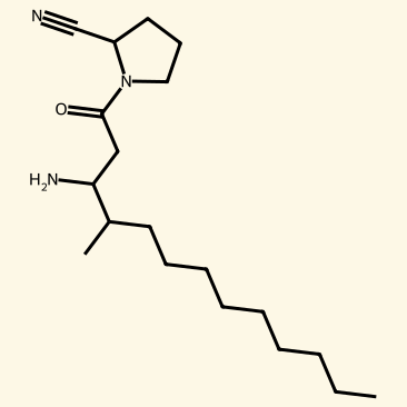 CCCCCCCCCC(C)C(N)CC(=O)N1CCCC1C#N